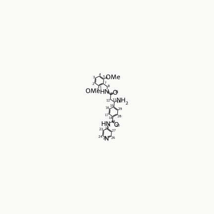 COc1cccc(OC)c1CNC(=O)CC(N)c1ccc(C(=O)Nc2ccncc2)cc1